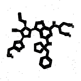 CCc1cc([C@H]2O[C@@H](n3cnc4c(NC(CC)CC)nc(N[N+]5(Cc6ccccc6)CCCC5)nc43)[C@@H](OC=O)[C@@H]2O)on1